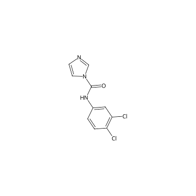 O=C(Nc1ccc(Cl)c(Cl)c1)n1ccnc1